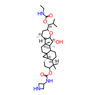 CCNC(=O)O[C@H](C(C)C)C1C[C@@H](C)[C@H]2C(O1)[C@H](O)[C@@]1(C)C3CC[C@H]4C(C)(C)C(OC(=O)NC5CNC5)CC[C@@]45C[C@@]35CC[C@]21C